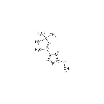 C/C(=C\C(C)(C)C)c1ccc(CO)o1